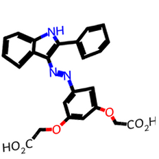 O=C(O)COc1cc(N=Nc2c(-c3ccccc3)[nH]c3ccccc23)cc(OCC(=O)O)c1